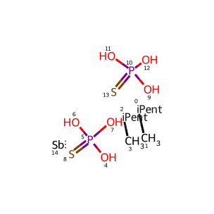 CCCC(C)C.CCCC(C)C.OP(O)(O)=S.OP(O)(O)=S.[Sb]